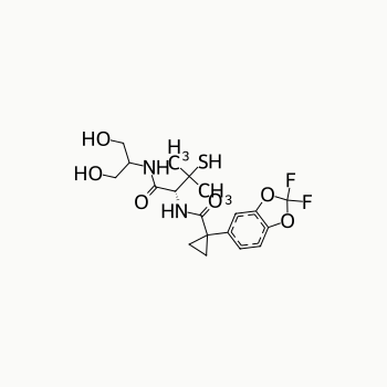 CC(C)(S)[C@H](NC(=O)C1(c2ccc3c(c2)OC(F)(F)O3)CC1)C(=O)NC(CO)CO